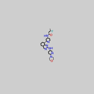 CC(F)=CC(=O)Nc1ccnc(-c2cccc3cnc(Nc4ccc(N5CCOCC5)nc4)nc23)c1